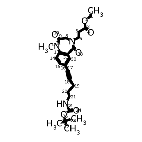 CCOC(=O)CCN1CC(=O)N(C)c2ccc(C#CCCCNC(=O)OC(C)(C)C)cc2C1=O